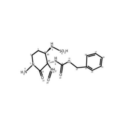 NN1CC[C@@H](NS(=O)(=O)O)[C@@](NC(=O)OCc2ccccc2)([PH2]=O)C1=O